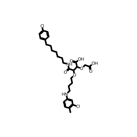 Cc1ccc(NCCCCOC(C(=O)NCCCCCCCc2ccc(Cl)cc2)C(OCC(=O)O)C(=O)O)cc1Cl